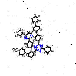 N#Cc1ccc(-c2cccc(-c3nc(-c4ccccc4)nc(-c4ccc(-c5ccc(-c6ccccc6)cc5-c5cc(-c6ccccc6)nc(-c6ccccc6)n5)cc4)n3)c2)cc1